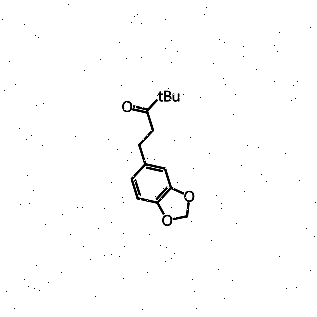 CC(C)(C)C(=O)CCc1ccc2c(c1)OCO2